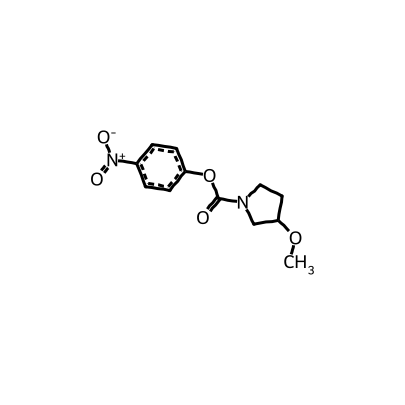 COC1CCN(C(=O)Oc2ccc([N+](=O)[O-])cc2)C1